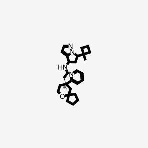 CC1(C2CC(NCC[C@@]3(c4ccccn4)CCOC4(CCCC4)C3)c3ccnn32)CCC1